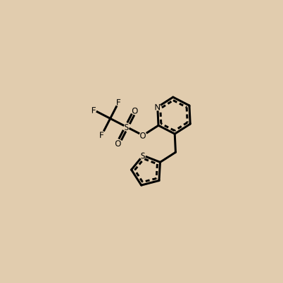 O=S(=O)(Oc1ncccc1Cc1cccs1)C(F)(F)F